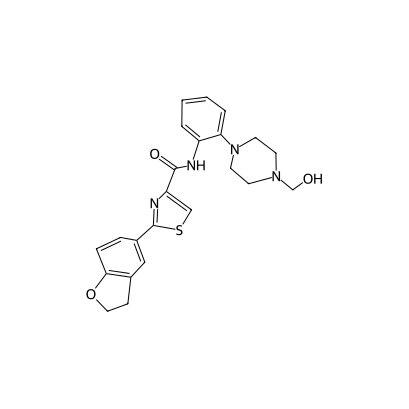 O=C(Nc1ccccc1N1CCN(CO)CC1)c1csc(-c2ccc3c(c2)CCO3)n1